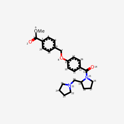 COC(=O)c1ccc(COc2ccc(C(=O)N3CCCC3CN3CCCC3)cc2)cc1